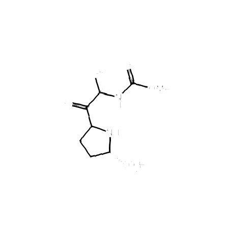 COC(=O)NC(C(=O)C1CC[C@@H](C(=O)O)N1)C(C)C